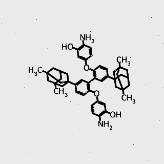 CC12CC3CC(C)(C1)CC(c1ccc(Oc4ccc(N)c(O)c4)c(-c4cc(C56CC7CC(C)(CC(C)(C7)C5)C6)ccc4Oc4ccc(N)c(O)c4)c1)(C3)C2